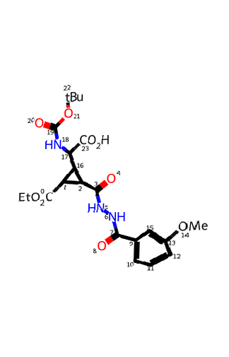 CCOC(=O)C1C(C(=O)NNC(=O)c2cccc(OC)c2)C1C(NC(=O)OC(C)(C)C)C(=O)O